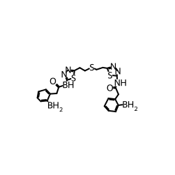 Bc1ccccc1CC(=O)Bc1nnc(CCSCCc2nnc(NC(=O)Cc3ccccc3B)s2)s1